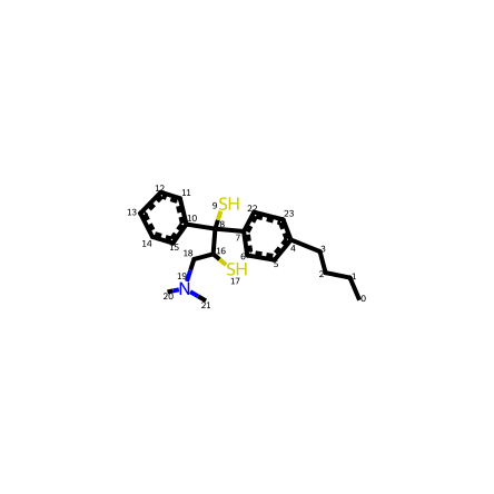 CCCCc1ccc(C(S)(c2ccccc2)C(S)CN(C)C)cc1